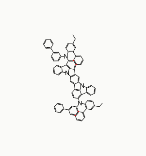 CCc1ccc(N(c2cccc(-c3ccccc3)c2)c2ccc3c4cc5c(cc4n4c6ccccc6c2c34)c2ccc(N(c3cccc(-c4ccccc4)c3)c3ccc(CC)cc3-c3ccccc3)c3c4ccccc4n5c23)c(-c2ccccc2)c1